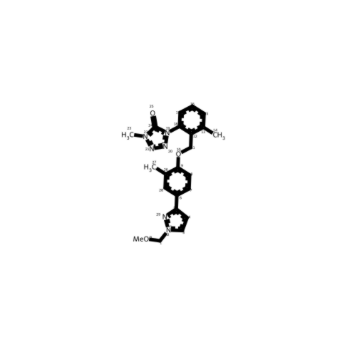 COCn1ccc(-c2ccc(OCc3c(C)cccc3-n3nnn(C)c3=O)c(C)c2)n1